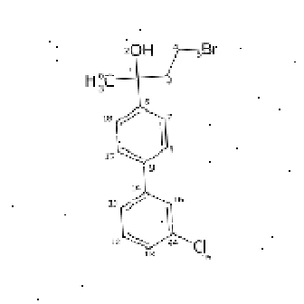 CC(O)(CCBr)c1ccc(-c2cccc(Cl)c2)cc1